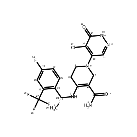 C[C@@H](NC1=C(C(N)=O)CN(c2cn[nH]c(=O)c2Cl)CC1)c1ccc(F)cc1C(F)(F)F